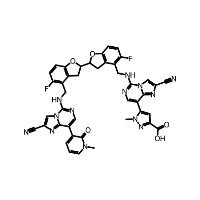 Cn1nc(C(=O)O)cc1-c1cnc(NCc2c(F)ccc3c2CC(C2Cc4c(ccc(F)c4CNc4ncc(-c5cccn(C)c5=O)c5nc(C#N)cn45)O2)O3)n2cc(C#N)nc12